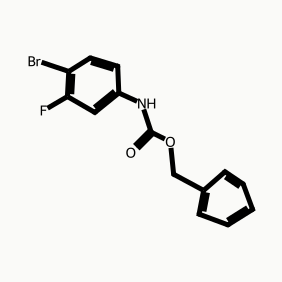 O=C(Nc1ccc(Br)c(F)c1)OCc1ccccc1